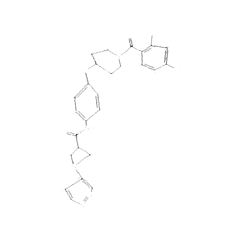 O=C(Nc1ccc(OC2CCN(C(=O)c3ccc(F)cc3F)CC2)cc1)C1CN(c2ccnnc2)C1